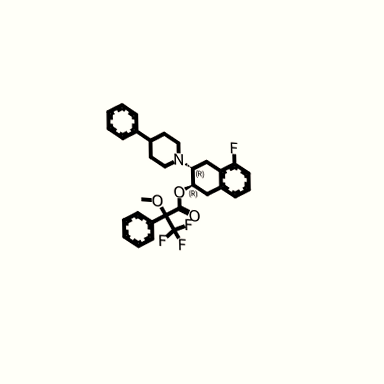 COC(C(=O)O[C@@H]1Cc2cccc(F)c2C[C@H]1N1CCC(c2ccccc2)CC1)(c1ccccc1)C(F)(F)F